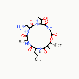 CCCCCCCCCCC1OC(=O)CNC(=O)C(C(C)O)NC(=O)C(CN)NC(=O)C(C(C)CC)NC(=O)C(CCC(F)(F)F)N(C)C(=O)C1C